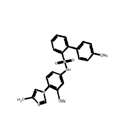 COc1ccc(-c2ccccc2S(=O)(=O)Nc2ccc(-n3cnc(C)c3)c(OC)c2)cc1